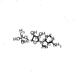 C[PH](O)(O)OC[C@H]1O[C@@H](n2cnc3c(N)ncnc32)[C@H](O)[C@@H]1O